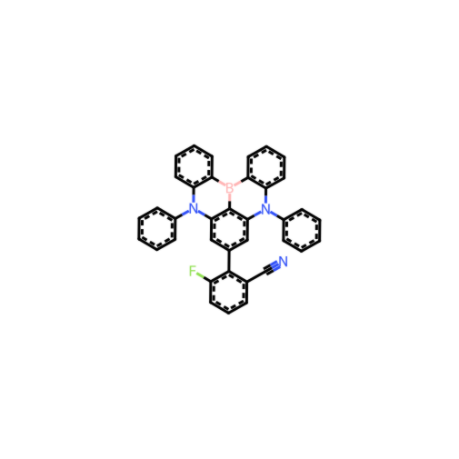 N#Cc1cccc(F)c1-c1cc2c3c(c1)N(c1ccccc1)c1ccccc1B3c1ccccc1N2c1ccccc1